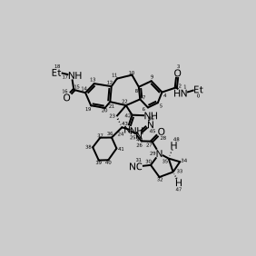 CCNC(=O)c1ccc2c(c1)CCc1cc(C(=O)NCC)ccc1C2(C[C@H](NCC(=O)N1C(C#N)C[C@@H]2C[C@@H]21)C1CCCCC1)c1nnn[nH]1